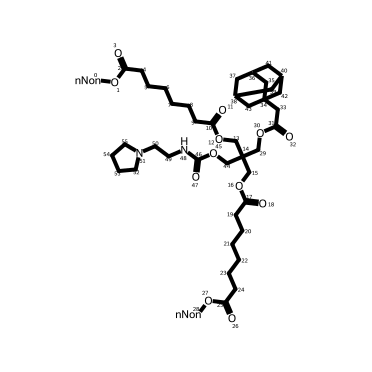 CCCCCCCCCOC(=O)CCCCCCC(=O)OCC(COC(=O)CCCCCCC(=O)OCCCCCCCCC)(COC(=O)CC12CC3CC(CC(C3)C1)C2)COC(=O)NCCN1CCCC1